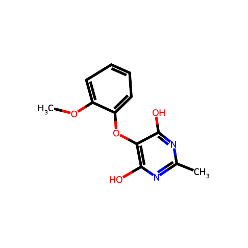 COc1ccccc1Oc1c(O)nc(C)nc1O